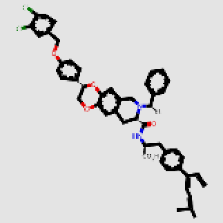 C=C/C(=C\C=C(C)C)c1ccc(C[C@H](NC(=O)[C@@H]2Cc3cc4c(cc3CN2[C@@H](CC)c2ccccc2)O[C@@H](c2ccc(OCc3ccc(Cl)c(Cl)c3)cc2)CO4)C(=O)O)cc1